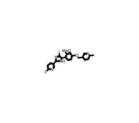 COc1cc(OCc2ccc(C)nc2)ccc1-c1[nH]c(-c2ccc(F)nc2)nc1I